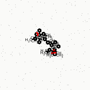 CC(C)(C)c1ccc(N2c3cc4c(c5c3B(c3sc6cc7c(cc6c32)C(C)(C)CCC7(C)C)N2c3ccccc3Sc3cccc-5c32)C(C)(C)c2cc(-c3ccc5c(c3)[Si](C)(C)c3cccc6c3N5B3c5sc7ccccc7c5N(c5ccc(C(C)(C)C)cc5-c5ccccc5)c5cc7sc8ccccc8c7c-6c53)ccc2-4)c(-c2ccccc2)c1